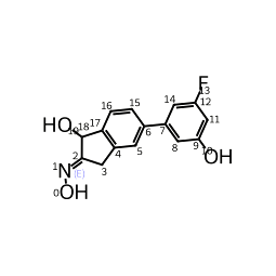 O/N=C1\Cc2cc(-c3cc(O)cc(F)c3)ccc2C1O